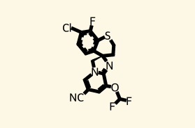 N#CC1=CN2C[C@@]3(CCSc4c3ccc(Cl)c4F)N=C2C(OC(F)F)=C1